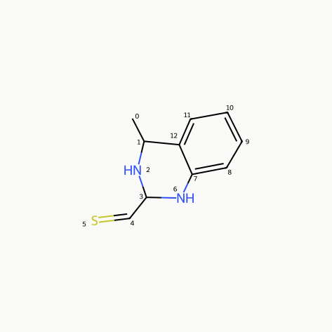 CC1NC(C=S)Nc2ccccc21